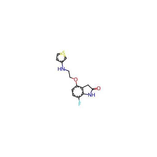 O=C1Cc2c(OCCNc3ccsc3)ccc(F)c2N1